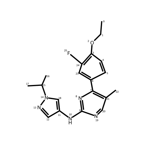 CCOc1ccc(-c2nc(Nc3cnn(C(C)C)c3)ncc2C)cc1F